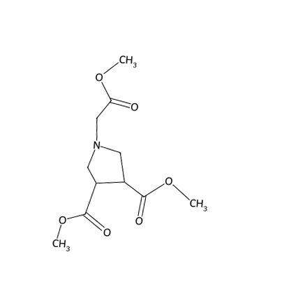 COC(=O)CN1CC(C(=O)OC)C(C(=O)OC)C1